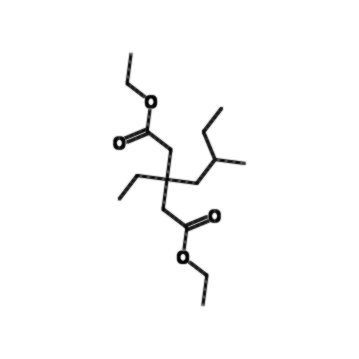 CCOC(=O)CC(CC)(CC(=O)OCC)CC(C)CC